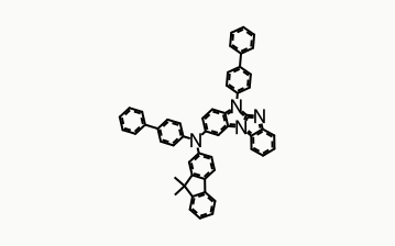 CC1(C)c2ccccc2-c2ccc(N(c3ccc(-c4ccccc4)cc3)c3ccc4c(c3)n3c5ccccc5nc3n4-c3ccc(-c4ccccc4)cc3)cc21